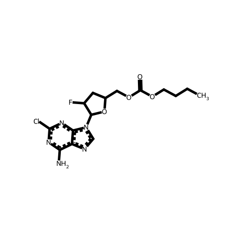 CCCCOC(=O)OCC1CC(F)C(n2cnc3c(N)nc(Cl)nc32)O1